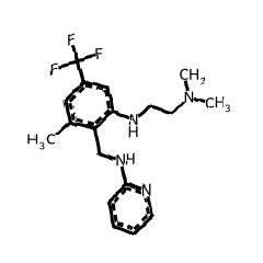 Cc1cc(C(F)(F)F)cc(NCCN(C)C)c1CNc1ccccn1